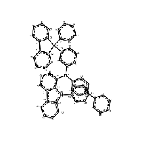 c1ccc(-c2ccc(N(c3cccc(C4(c5ccccc5)c5ccccc5-c5ccccc54)c3)c3cccc4c5ccccc5n(-c5ccccc5)c34)cc2)cc1